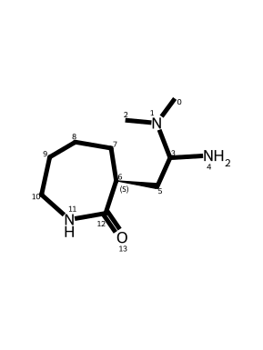 CN(C)C(N)C[C@@H]1CCCCNC1=O